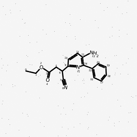 CCOC(=O)CC(C#N)c1ccc(N)c(-c2ccccc2)n1